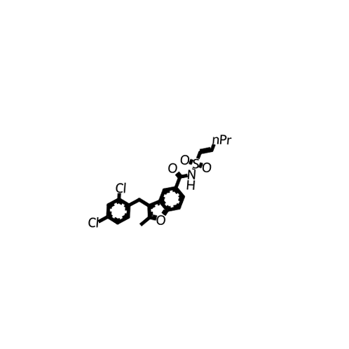 CCC/C=C/S(=O)(=O)NC(=O)c1ccc2oc(C)c(Cc3ccc(Cl)cc3Cl)c2c1